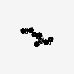 c1ccc(-c2nc(-c3ccc4oc5ccccc5c4c3)nc(-c3cccc4c3sc3ccc(-c5cccc(-c6nc7ccccc7o6)c5)cc34)n2)cc1